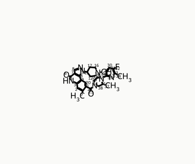 Cc1cc2[nH]c(=O)c3cnn(C4CCN(C)CC4)c3c2cc1C(=O)N1CCN(c2ccc(F)c(C)n2)[C@@H](C)C1